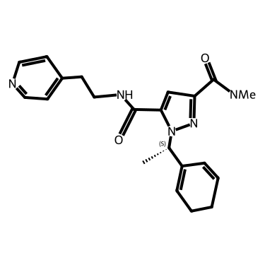 CNC(=O)c1cc(C(=O)NCCc2ccncc2)n([C@@H](C)C2=CCCC=C2)n1